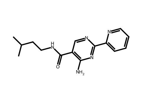 CC(C)CCNC(=O)c1cnc(-c2ccccn2)nc1N